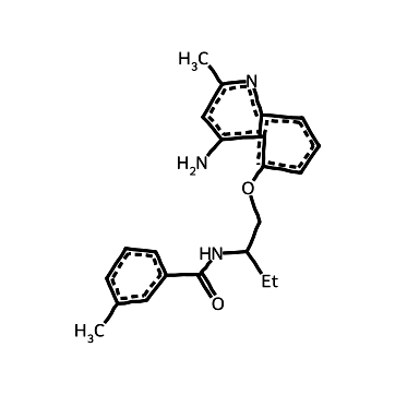 CCC(COc1cccc2nc(C)cc(N)c12)NC(=O)c1cccc(C)c1